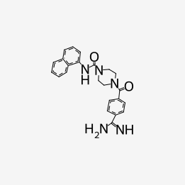 N=C(N)c1ccc(C(=O)N2CCN(C(=O)Nc3cccc4ccccc34)CC2)cc1